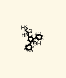 O=C(CS)Nc1cc(-c2ccccc2)c(O)c(-c2ccccc2)c1